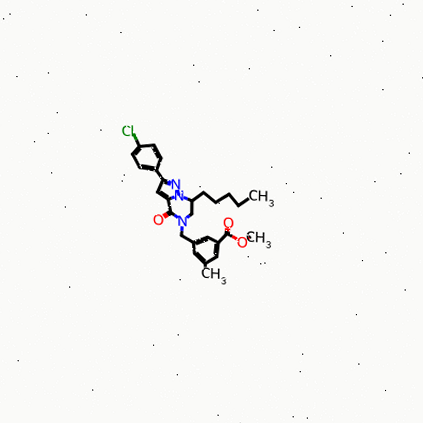 CCCCCC1CN(Cc2cc(C)cc(C(=O)OC)c2)C(=O)c2cc(-c3ccc(Cl)cc3)nn21